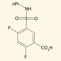 CCCNS(=O)(=O)c1cc(C(=O)O)c(F)cc1F